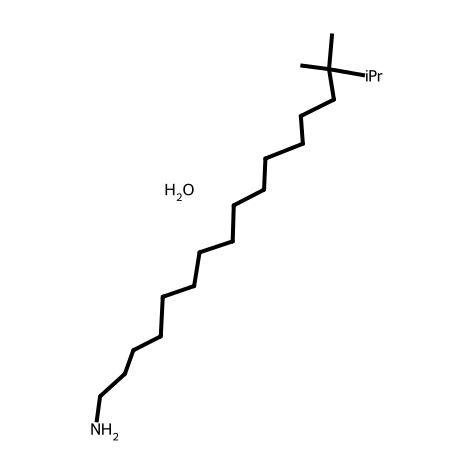 CC(C)C(C)(C)CCCCCCCCCCCCCCN.O